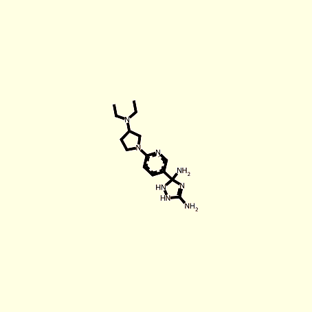 CCN(CC)C1CCN(c2ccc(C3(N)N=C(N)NN3)cn2)C1